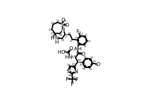 O=C(O)N[C@H](C(=O)Nc1cccc(F)c1CC[C@H]1CN[C@@H]2CCCS(=O)(=O)N1C2)[C@@H](c1ccc(Cl)cc1)c1csc(C(F)(F)F)n1